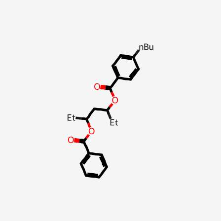 CCCCc1ccc(C(=O)OC(CC)CC(CC)OC(=O)c2ccccc2)cc1